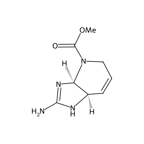 COC(=O)N1CC=C[C@H]2NC(N)=N[C@H]21